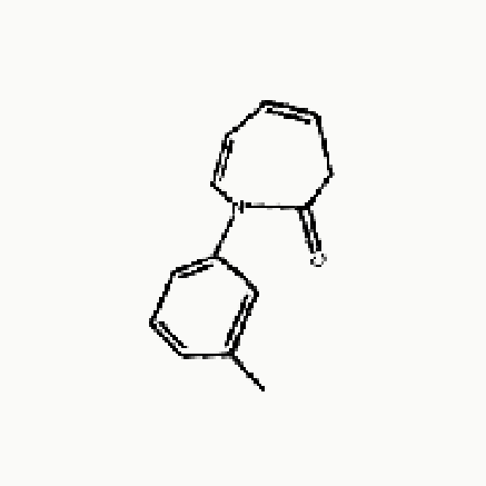 Cc1cccc(N2C=CC=CCC2=O)c1